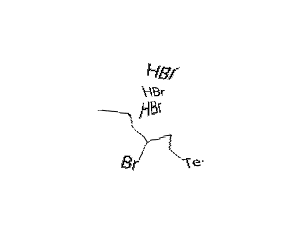 Br.Br.Br.CCC(Br)C[Te]